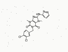 Cn1c(Nc2cccnn2)nc2c1c(=O)n(Cc1ccc(Cl)c(Cl)c1)c(=O)n2C